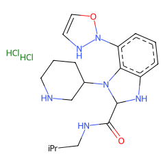 CC(C)CNC(=O)C1Nc2cccc(N3NC=CO3)c2N1C1CCCNC1.Cl.Cl